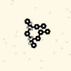 c1ccc(-c2ccc(-c3nc(-c4cccc(-c5nc(-c6cccc(-c7cccc(-c8ccccc8)c7)c6)c6c(n5)oc5ccccc56)c4)nc4c3sc3ccccc34)cc2)cc1